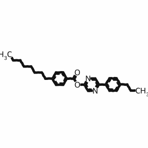 CCCCCCCCc1ccc(C(=O)Oc2cnc(-c3ccc(CCC)cc3)cn2)cc1